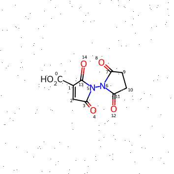 O=C(O)C1=CC(=O)N(N2C(=O)CCC2=O)C1=O